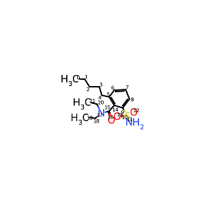 CCCCCc1cccc(S(N)(=O)=O)c1C(=O)N(CC)CC